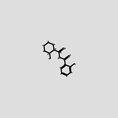 Cc1ccccc1C(=O)OC(=O)C1CCCCC1C